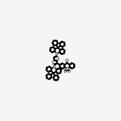 O=C1c2ccccc2S(=O)(=O)c2ccc(-c3c(N4c5ccccc5C(c5ccccc5)(c5ccccc5)c5ccccc54)sc4cc(N5c6ccccc6C(c6ccccc6)(c6ccccc6)c6ccccc65)sc34)cc21